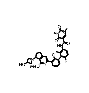 COc1nc(-c2cccc(-c3c(F)ccc(NC(=O)c4cn(C)c(=O)n(C)c4=O)c3C)c2Cl)cc2c1C(N1CC(O)C1)CC2